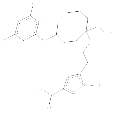 COC1(OCCc2nc(C(C)C)cn2C)CCCCC(Sc2cc(Cl)cc(Cl)c2)CC1